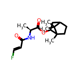 C[C@H](NC(=O)C=CF)C(=O)OC1CC2CCC1(C)C2(C)C